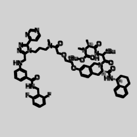 C[C@@H](C(=O)NC(C(=O)N1Cc2cc(OCCOCC(=O)N(C)CCCn3c(CNc4cccc(C(=O)NCc5c(F)cccc5F)c4)nnc3-c3ccncn3)ccc2C[C@H]1C(=O)N[C@@H]1CCCc2ccccc21)C(C)(C)C)N(C)C(=O)OC(C)(C)C